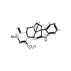 C=C[C@@H]1CN2CC[C@@]3(C(=O)Nc4ccccc43)[C@@H]2C[C@@H]1/C(=C\OC)C(=O)O